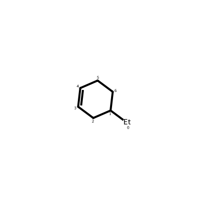 [CH2]CC1CC=CCC1